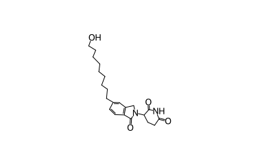 O=C1CCC(N2Cc3cc(CCCCCCCCCO)ccc3C2=O)C(=O)N1